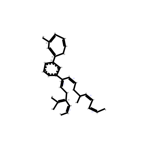 C/C=C\C=C/C(C)C/C=C\C(=C/CC(/C=C\C)=C(C)C)c1cccc(C2=CC(C)=CC=CC2)c1